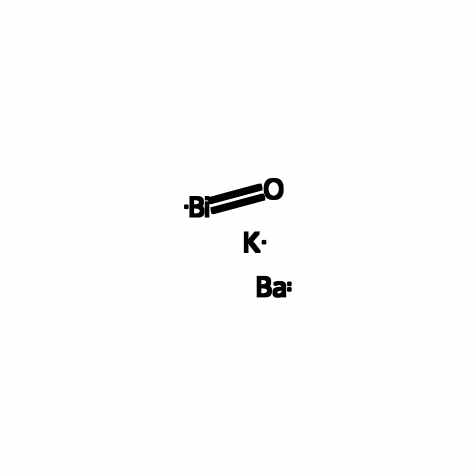 [Ba].[K].[O]=[Bi]